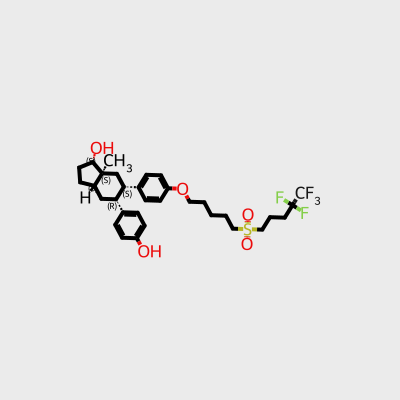 C[C@]12C[C@H](c3ccc(OCCCCCS(=O)(=O)CCCC(F)(F)C(F)(F)F)cc3)[C@H](c3ccc(O)cc3)C[C@@H]1CC[C@@H]2O